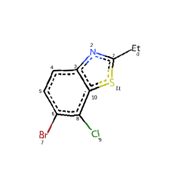 CCc1nc2ccc(Br)c(Cl)c2s1